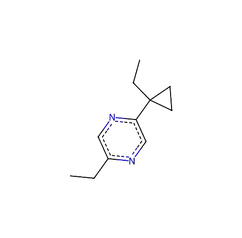 CCc1cnc(C2(CC)CC2)cn1